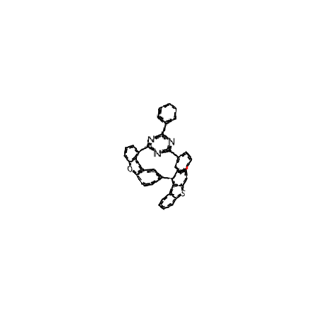 c1ccc(-c2nc(-c3ccccc3)nc(-c3cccc4oc5ccc(-c6cccc7sc8ccccc8c67)cc5c34)n2)cc1